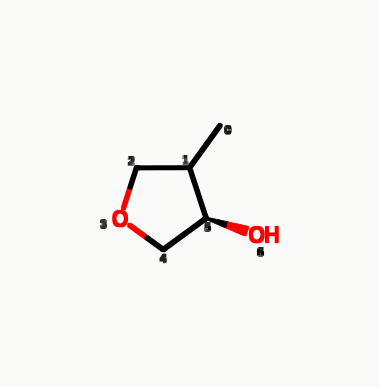 CC1COC[C@@H]1O